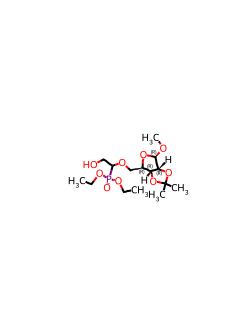 CCOP(=O)(OCC)C(CO)OC[C@H]1O[C@@H](OC)[C@@H]2OC(C)(C)O[C@@H]21